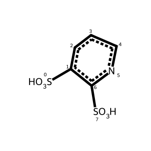 O=S(=O)(O)c1cccnc1S(=O)(=O)O